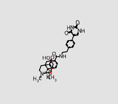 CO[C@@]12CCC(=O)CC13CCN(C)[C@@H]2Cc1ccc(C(=O)NCCc2ccc(-c4c[nH]c(=O)[nH]c4=O)cc2)c(O)c13